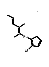 CC=CC(C)=[C](C)[Ru][C]1=C(CC)C=CC1